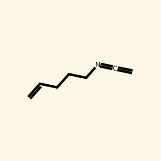 C=C=NCCCC=C